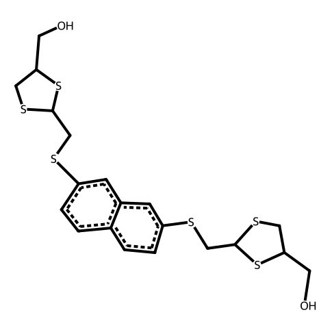 OCC1CSC(CSc2ccc3ccc(SCC4SCC(CO)S4)cc3c2)S1